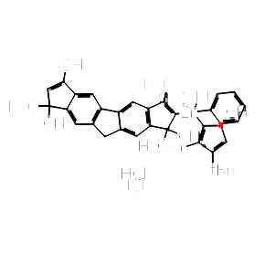 Cl.Cl.[CH2]=[Zr]([CH2]C)([C]1=C(CC)C(C(C)(C)C)=CC1C)([C]1=C(C)c2cc3c(cc2C1(C)C)Cc1cc2c(cc1-3)C(C)=CC2(C)C)[c]1ccccc1